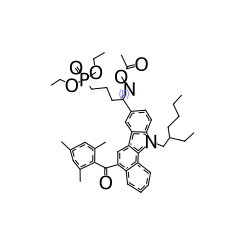 CCCCC(CC)Cn1c2ccc(/C(CCCP(=O)(OCC)OCC)=N/OC(C)=O)cc2c2cc(C(=O)c3c(C)cc(C)cc3C)c3ccccc3c21